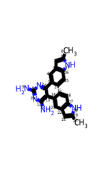 Cc1cc2cc(-c3nc(N)nc(N)c3-c3ccc4[nH]c(C)cc4c3)ccc2[nH]1